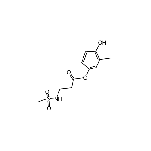 CS(=O)(=O)NCCC(=O)Oc1ccc(O)c(I)c1